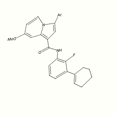 COc1ccn2c(C(C)=O)cc(C(=O)Nc3cccc(C4=CCCCC4)c3F)c2c1